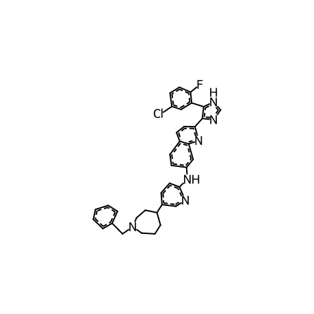 Fc1ccc(Cl)cc1-c1[nH]cnc1-c1ccc2ccc(Nc3ccc(C4CCCN(Cc5ccccc5)CC4)cn3)cc2n1